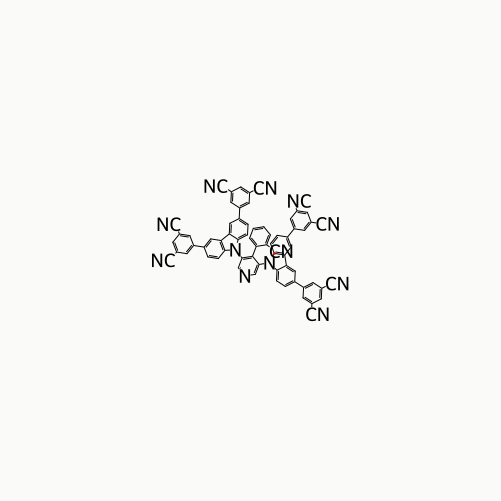 N#Cc1cc(C#N)cc(-c2ccc3c(c2)c2cc(-c4cc(C#N)cc(C#N)c4)ccc2n3-c2cncc(-n3c4ccc(-c5cc(C#N)cc(C#N)c5)cc4c4cc(-c5cc(C#N)cc(C#N)c5)ccc43)c2-c2ccccc2C#N)c1